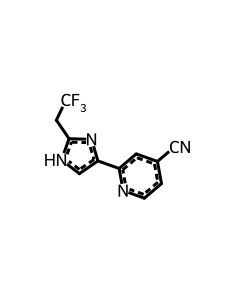 N#Cc1ccnc(-c2c[nH]c(CC(F)(F)F)n2)c1